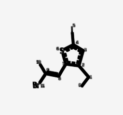 CCc1cc(I)sc1/C=C(\C)Br